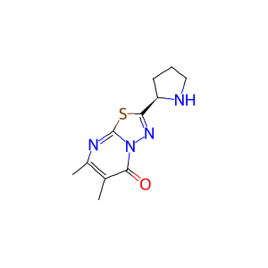 Cc1nc2sc([C@H]3CCCN3)nn2c(=O)c1C